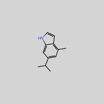 Cc1cc(C(C)C)cc2[nH]ccc12